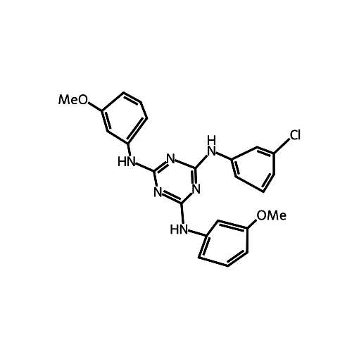 COc1cccc(Nc2nc(Nc3cccc(Cl)c3)nc(Nc3cccc(OC)c3)n2)c1